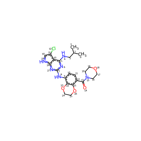 CC(C)CNc1nc(Nc2ccc(C(=O)N3CCOCC3)c3c2OCCO3)nc2[nH]cc(Cl)c12